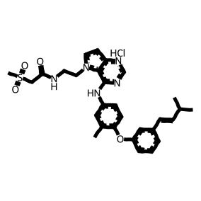 Cc1cc(Nc2ncnc3ccn(CCNC(=O)CS(C)(=O)=O)c23)ccc1Oc1cccc(/C=C/C(C)C)c1.Cl